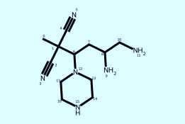 CC(C#N)(C#N)C(CC(N)CN)N1CCNCC1